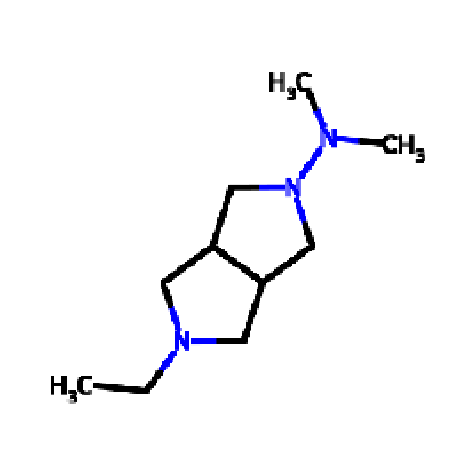 CCN1CC2CN(N(C)C)CC2C1